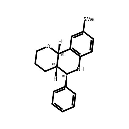 CSc1ccc2c(c1)[C@H]1OCCC[C@H]1[C@H](c1ccccc1)N2